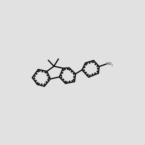 CC1(C)c2ccccc2-c2ccc(-c3ccc([N+](=O)[O-])cc3)cc21